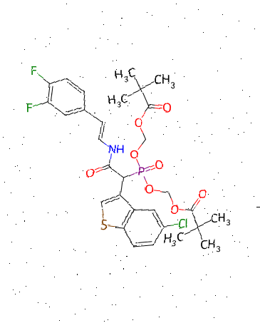 CC(C)(C)C(=O)OCOP(=O)(OCOC(=O)C(C)(C)C)C(C(=O)NC=Cc1ccc(F)c(F)c1)c1csc2ccc(Cl)cc12